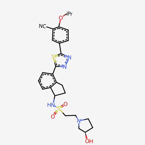 CC(C)Oc1ccc(-c2nnc(-c3cccc4c3CCC4NS(=O)(=O)CCN3CC[C@@H](O)C3)s2)cc1C#N